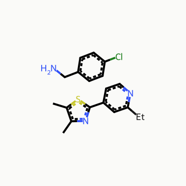 CCc1cc(-c2nc(C)c(C)s2)ccn1.NCc1ccc(Cl)cc1